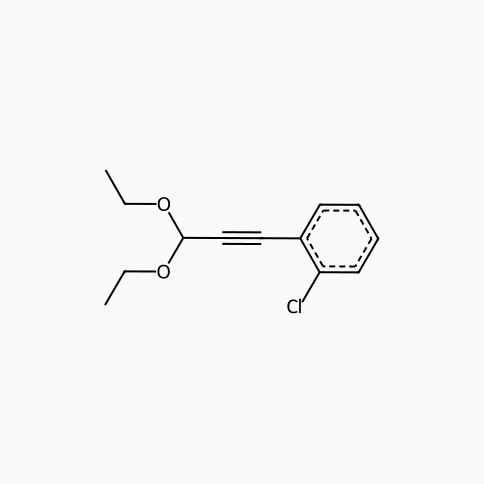 CCOC(C#Cc1ccccc1Cl)OCC